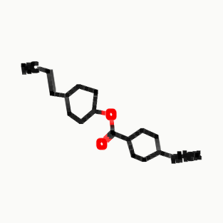 CCCCCCC1CCC(C(=O)OC2CCC(/C=C/C#N)CC2)CC1